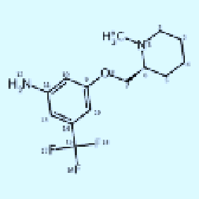 CN1CCCC[C@H]1COc1cc(N)cc(C(F)(F)F)c1